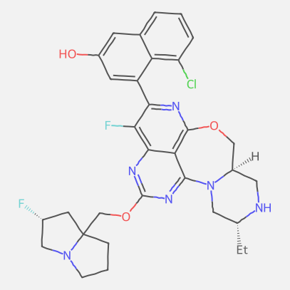 CC[C@@H]1CN2c3nc(OCC45CCCN4C[C@H](F)C5)nc4c(F)c(-c5cc(O)cc6cccc(Cl)c56)nc(c34)OC[C@H]2CN1